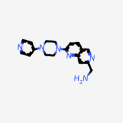 NCc1cc2nc(N3CCN(c4ccncc4)CC3)ccc2cn1